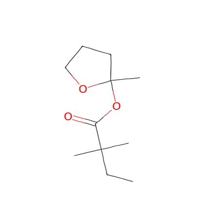 CCC(C)(C)C(=O)OC1(C)CCCO1